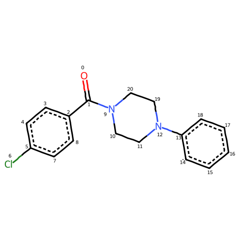 O=C(c1ccc(Cl)cc1)N1CCN(c2[c]cccc2)CC1